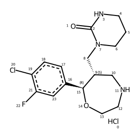 Cl.O=C1NCCCN1C[C@@H]1CNCCO[C@H]1c1ccc(Cl)c(F)c1